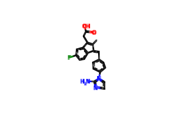 CC1=C(CC(=O)O)c2cc(F)ccc2/C1=C\c1ccc(-n2ccnc2N)cc1